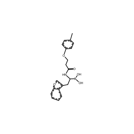 Cc1ccc(OCCC(=O)NC(Cc2coc3ccccc23)B(O)O)cc1